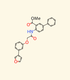 COC(=O)c1cc(-c2ccccc2)ccc1NC(=O)COc1cccc(-c2ccoc2)c1